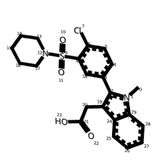 Cn1c(-c2ccc(Cl)c(S(=O)(=O)N3CCCCC3)c2)c(CC(=O)O)c2ccccc21